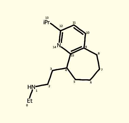 CCNCCC1CCCCc2ccc(C(C)C)nc21